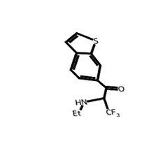 CCNC(C(=O)c1ccc2ccsc2c1)C(F)(F)F